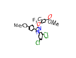 COC(=O)c1ccc(Oc2nn(-c3cc(Cl)cc(Cl)c3)cc2-c2ccc(OC)cc2)c(C(F)(F)F)c1